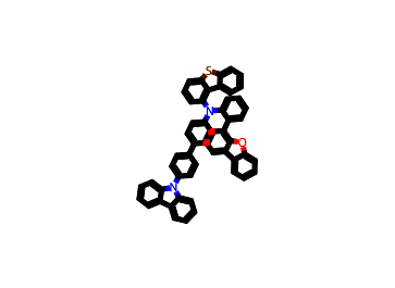 c1ccc(N(c2ccc(-c3ccc(-n4c5ccccc5c5ccccc54)cc3)cc2)c2cccc3sc4ccccc4c23)c(-c2cccc3c2oc2ccccc23)c1